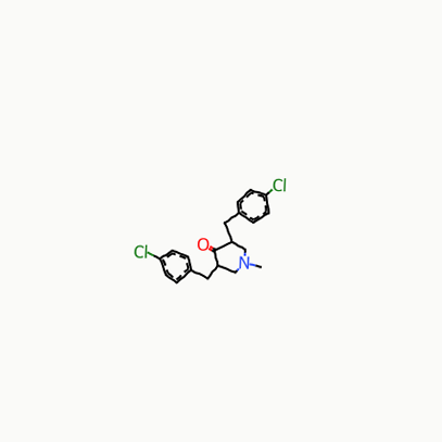 CN1CC(Cc2ccc(Cl)cc2)C(=O)C(Cc2ccc(Cl)cc2)C1